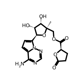 C[C@]1(COC(=O)[C@H]2CCC(=O)O2)O[C@@H](c2ccc3c(N)ncnn23)[C@H](O)[C@@H]1O